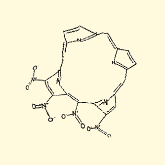 O=[N+]([O-])C1=CC2=CC3=NC(=CC4=NC(=CC5=NC(=C([N+](=O)[O-])C1=N2)C([N+](=O)[O-])=C5[N+](=O)[O-])C=C4)C=C3